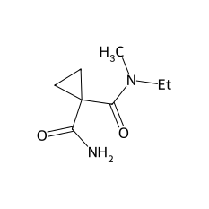 CCN(C)C(=O)C1(C(N)=O)CC1